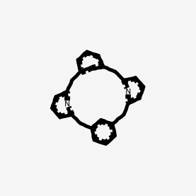 c1cc2cc(c1)Cc1cccc(n1)Cc1cccc(c1)Cc1cccc(n1)C2